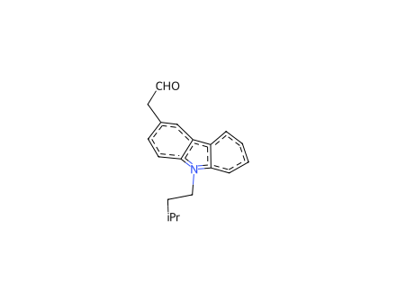 CC(C)CCn1c2ccccc2c2cc(CC=O)ccc21